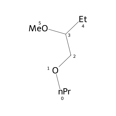 CCCOCC(CC)OC